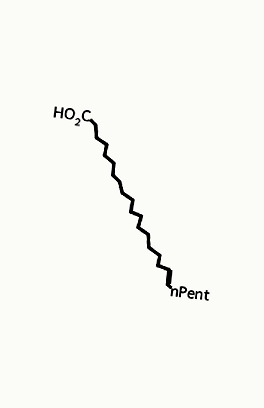 CCCCCC=CCCCCCCCCCCCCCCCCC(=O)O